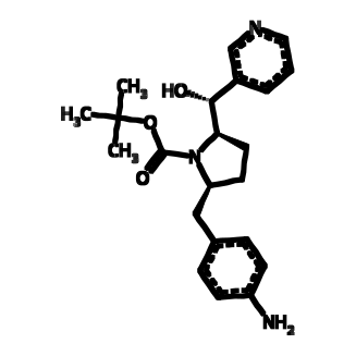 CC(C)(C)OC(=O)N1[C@H](Cc2ccc(N)cc2)CC[C@@H]1[C@H](O)c1cccnc1